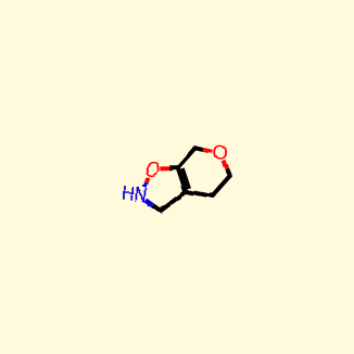 C1CC2=C(CO1)ONC2